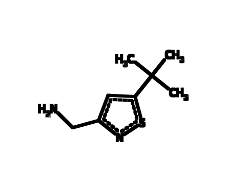 CC(C)(C)c1cc(CN)ns1